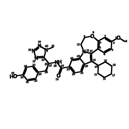 COc1ccc2c(c1)OCCn1c-2c(C2CCCCC2)c2ccc(C(=O)N[C@@H](Cc3ccc(O)cc3)c3nnnn3C)cc21